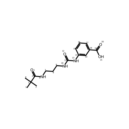 CC(C)(C)C(=O)NCCCNC(=O)Nc1cccc(C(=O)O)c1